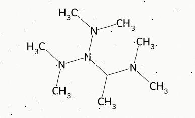 CC(N(C)C)N(N(C)C)N(C)C